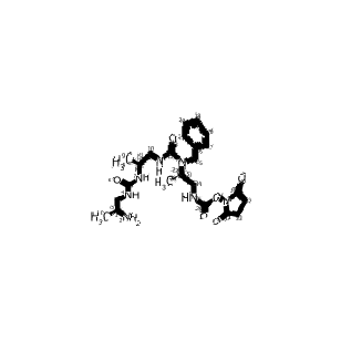 C[C@H](N)CNC(=O)N[C@@H](C)CNC(=O)N(Cc1ccccc1)[C@@H](C)CNC(=O)ON1C(=O)CCC1=O